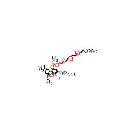 C=C(C)C1CCC(C)=CC1c1c(O)cc(CCCCC)cc1OC(C)OCCOCCOCCOCCOC